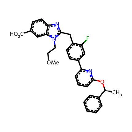 COCCn1c(Cc2ccc(-c3cccc(O[C@@H](C)c4ccccc4)n3)cc2F)nc2ccc(C(=O)O)cc21